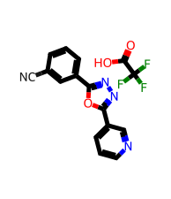 N#Cc1cccc(-c2nnc(-c3cccnc3)o2)c1.O=C(O)C(F)(F)F